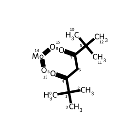 CC(C)(C)C(=O)CC(=O)C(C)(C)C.[O]=[Mo]=[O]